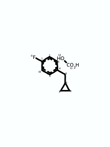 Fc1ccc(CC2CC2)cc1.O=C(O)O